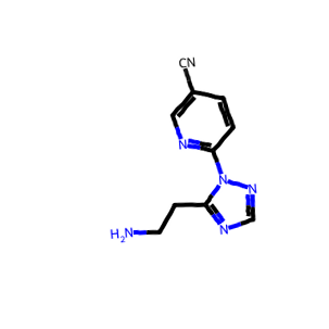 N#Cc1ccc(-n2ncnc2CCN)nc1